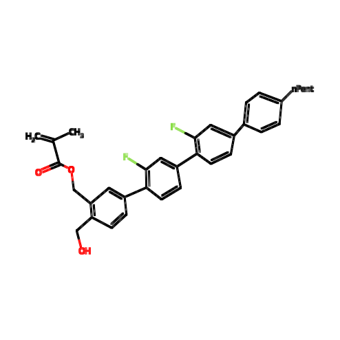 C=C(C)C(=O)OCc1cc(-c2ccc(-c3ccc(-c4ccc(CCCCC)cc4)cc3F)cc2F)ccc1CO